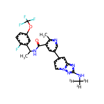 [2H]C([2H])([2H])Nc1nc2cc(-c3cnc(C)c(C(=O)NC(C)c4cc(OC(F)(F)F)ccc4F)c3)ccn2n1